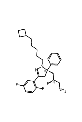 NC[C@@H](F)C[C@@]1(c2ccccc2)CC(c2cc(F)ccc2F)=NN1CCCCCC1CCC1